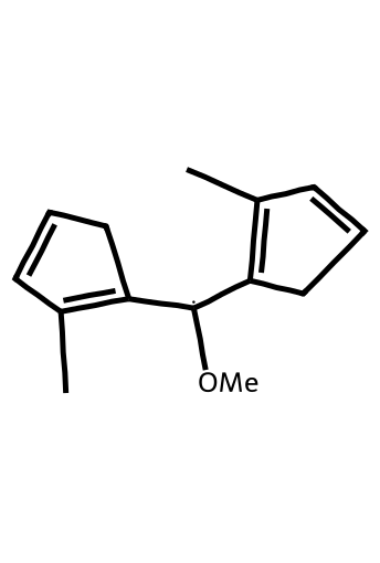 CO[C](C1=C(C)C=CC1)C1=C(C)C=CC1